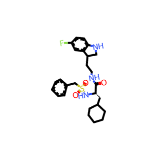 O=C(NCCC1CNc2ccc(F)cc21)[C@H](CC1CCCCC1)NS(=O)(=O)Cc1ccccc1